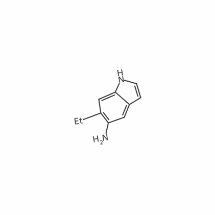 CCc1cc2[nH]ccc2cc1N